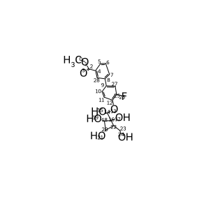 COC(=O)c1cccc(-c2ccc(OC(O)C3(O)C(O)C(O)C3CO)c(F)c2)c1